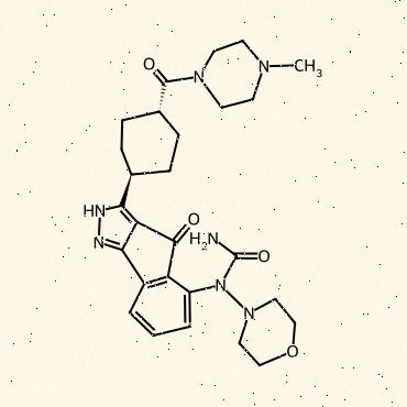 CN1CCN(C(=O)[C@H]2CC[C@H](c3[nH]nc4c3C(=O)c3c-4cccc3N(C(N)=O)N3CCOCC3)CC2)CC1